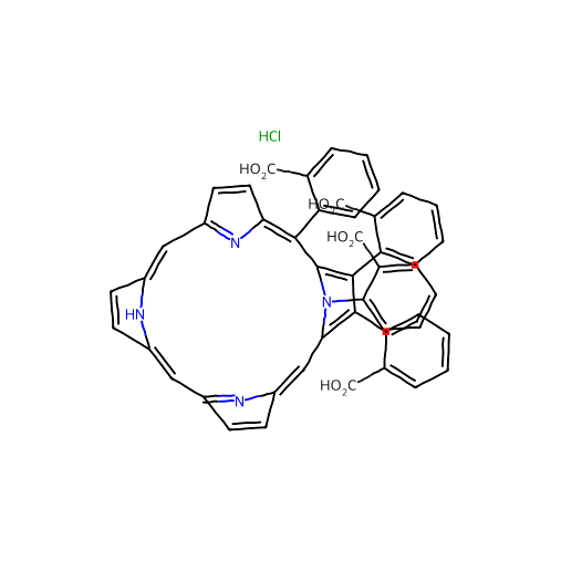 Cl.O=C(O)c1ccccc1-c1c(-c2ccccc2C(=O)O)c2c(-c3ccccc3C(=O)O)c3nc(cc4ccc(cc5nc(cc1n2-c1ccccc1C(=O)O)C=C5)[nH]4)C=C3